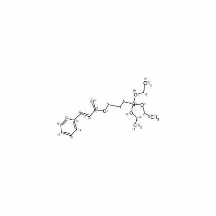 CCO[Si](CCCOC(=O)/C=C/c1ccccc1)(OCC)OCC